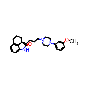 COc1cccc(N2CCN(CCCCC34CCCc5cccc(c53)NC4=O)CC2)c1